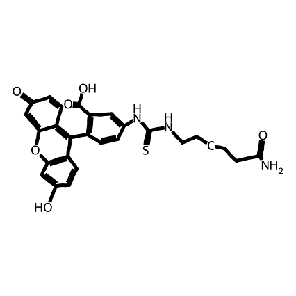 NC(=O)CCCCCNC(=S)Nc1ccc(-c2c3ccc(=O)cc-3oc3cc(O)ccc23)c(C(=O)O)c1